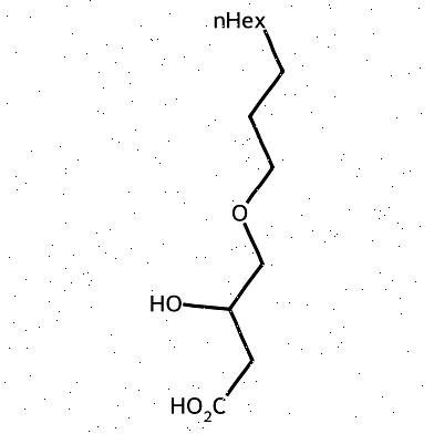 CCCCCCCCCOCC(O)CC(=O)O